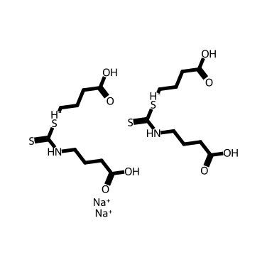 O=C(O)CCCNC(=S)[SH-]CCCC(=O)O.O=C(O)CCCNC(=S)[SH-]CCCC(=O)O.[Na+].[Na+]